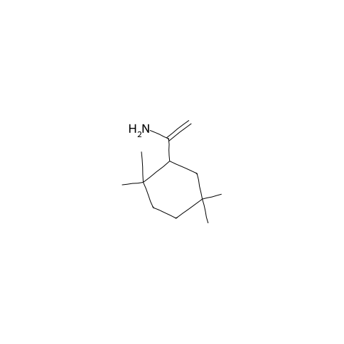 C=C(N)C1CC(C)(C)CCC1(C)C